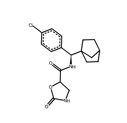 O=C1NCC(C(=O)N[C@@H](c2ccc(Cl)cc2)C23CCC(CC2)C3)O1